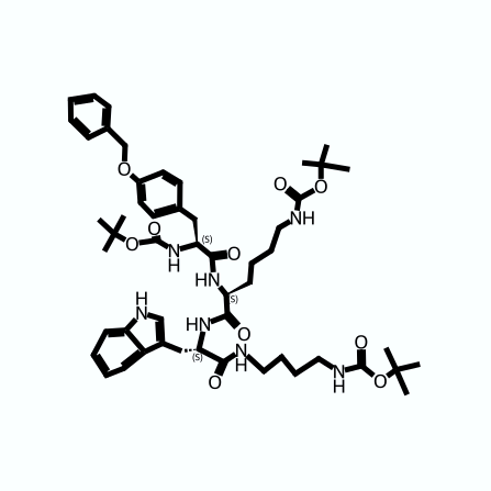 CC(C)(C)OC(=O)NCCCCNC(=O)[C@H](Cc1c[nH]c2ccccc12)NC(=O)[C@H](CCCCNC(=O)OC(C)(C)C)NC(=O)[C@H](Cc1ccc(OCc2ccccc2)cc1)NC(=O)OC(C)(C)C